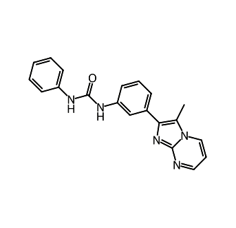 Cc1c(-c2cccc(NC(=O)Nc3ccccc3)c2)nc2ncccn12